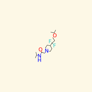 CC(C)NC(=O)CN1CCC(C(F)(F)CCOC(C)C)CC1